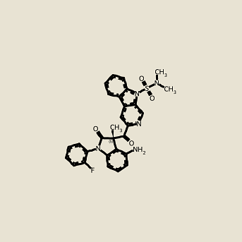 CN(C)S(=O)(=O)n1c2ccccc2c2cc(C(=O)[C@@]3(C)C(=O)N(c4ccccc4F)c4cccc(N)c43)ncc21